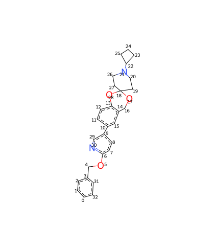 c1ccc(COc2ccc(-c3ccc4c(c3)COC3(CCN(C5CCC5)CC3)O4)cn2)cc1